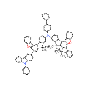 CC1(C)c2cc(N(c3ccc(-c4ccccc4)cc3)c3ccc4c(c3)C(C)(C)c3c5c(c6oc7ccccc7c6c3-4)-c3ccccc3C5(C)C)ccc2-c2c1cc(-c1ccc3c(c1)c1ccccc1n3-c1ccccc1)c1oc3ccccc3c21